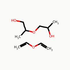 C=COC=C.CC(O)COC(C)CO